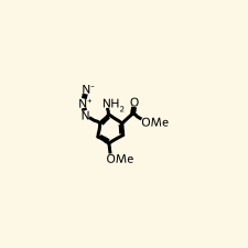 COC(=O)c1cc(OC)cc(N=[N+]=[N-])c1N